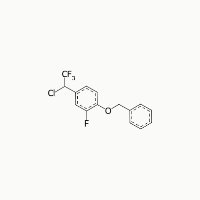 Fc1cc(C(Cl)C(F)(F)F)ccc1OCc1ccccc1